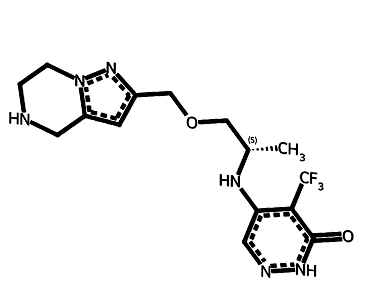 C[C@@H](COCc1cc2n(n1)CCNC2)Nc1cn[nH]c(=O)c1C(F)(F)F